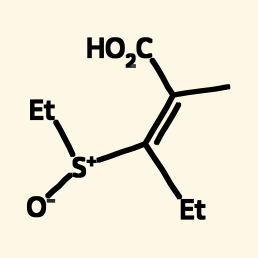 CCC(=C(C)C(=O)O)[S+]([O-])CC